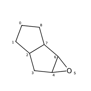 C1CC2CC3OC3C2C1